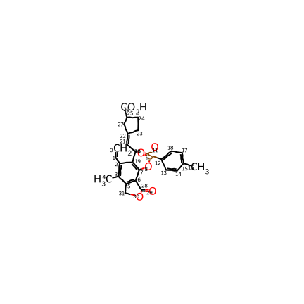 C=Cc1c(C)c2c(c(OS(=O)(=O)c3ccc(C)cc3)c1CC=C1CCC(C(=O)O)C1)C(=O)OC2